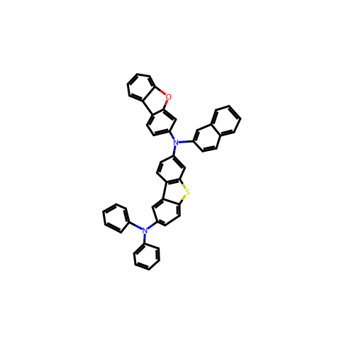 c1ccc(N(c2ccccc2)c2ccc3sc4cc(N(c5ccc6ccccc6c5)c5ccc6c(c5)oc5ccccc56)ccc4c3c2)cc1